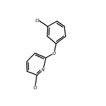 Clc1cccc(Oc2cccc(Cl)n2)c1